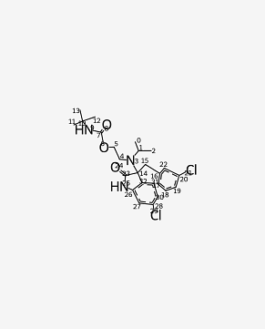 CC(C)N(CCOC(=O)NC(C)(C)C)C1(Cc2cccc(Cl)c2)C(=O)Nc2cc(Cl)ccc21